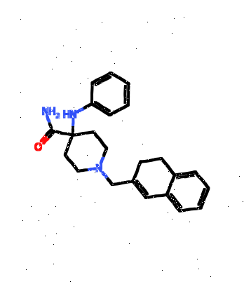 NC(=O)C1(Nc2ccccc2)CCN(CC2=Cc3ccccc3CC2)CC1